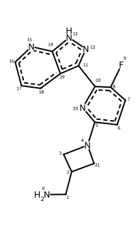 NCC1CN(c2ccc(F)c(-c3n[nH]c4ncccc34)n2)C1